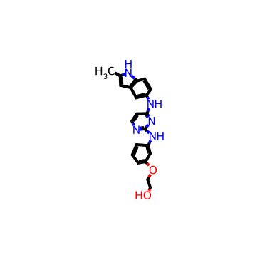 Cc1cc2cc(Nc3ccnc(Nc4cccc(OCCO)c4)n3)ccc2[nH]1